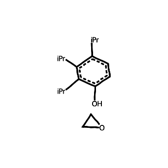 C1CO1.CC(C)c1ccc(O)c(C(C)C)c1C(C)C